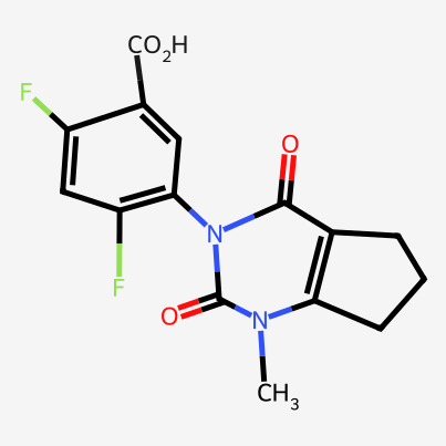 Cn1c2c(c(=O)n(-c3cc(C(=O)O)c(F)cc3F)c1=O)CCC2